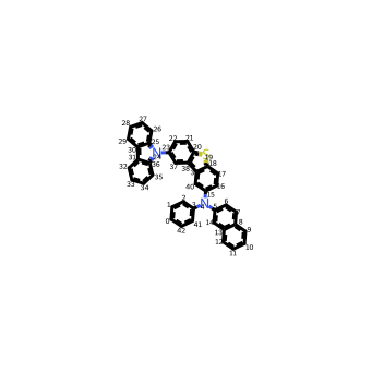 c1ccc(N(c2ccc3ccccc3c2)c2ccc3sc4ccc(-n5c6ccccc6c6ccccc65)cc4c3c2)cc1